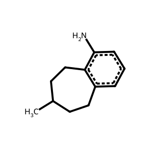 CC1CCc2cccc(N)c2CC1